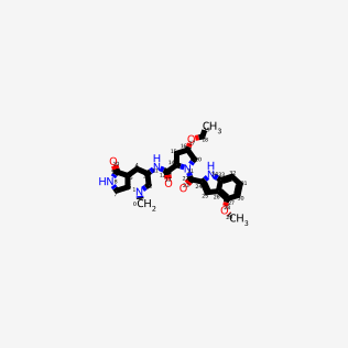 C=NCC(CC1CCNC1=O)NC(=O)C1CC(OCC)CN1C(=O)c1cc2c(OC)cccc2[nH]1